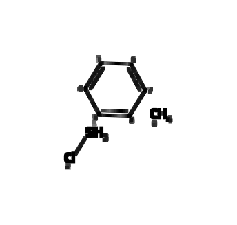 C.[SiH3]Cl.c1ccccc1